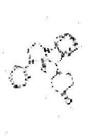 O=C1CCN([C@H](c2ccccc2)P2(=O)N(c3ccccc3)CCN2c2ccccc2)CC1